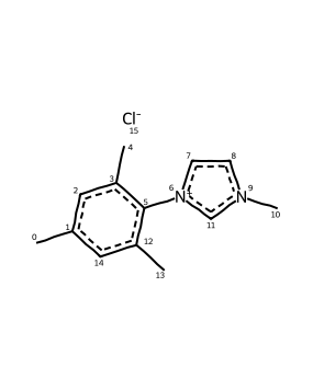 Cc1cc(C)c(-[n+]2ccn(C)c2)c(C)c1.[Cl-]